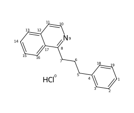 Cl.c1ccc(CCCc2nccc3ccccc23)cc1